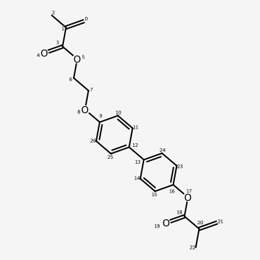 C=C(C)C(=O)OCCOc1ccc(-c2ccc(OC(=O)C(=C)C)cc2)cc1